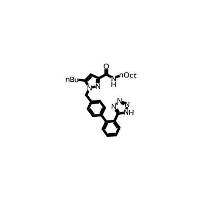 CCCCCCCCNC(=O)c1cc(CCCC)n(Cc2ccc(-c3ccccc3-c3nnn[nH]3)cc2)n1